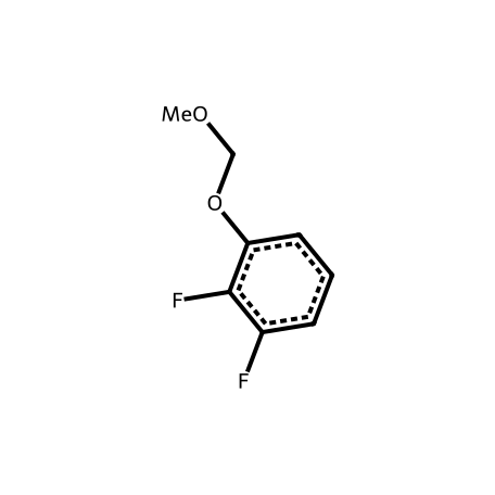 COCOc1cccc(F)c1F